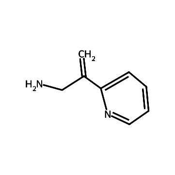 C=C(CN)c1ccccn1